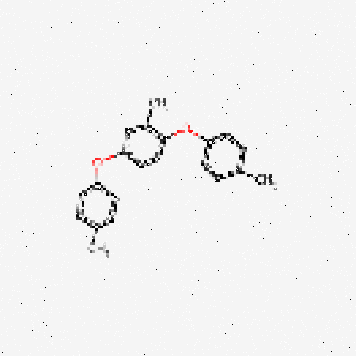 Cc1ccc(Oc2ccc(Oc3ccc(C)cc3)c(C)c2)cc1